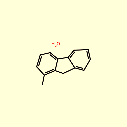 Cc1cccc2c1Cc1ccccc1-2.O